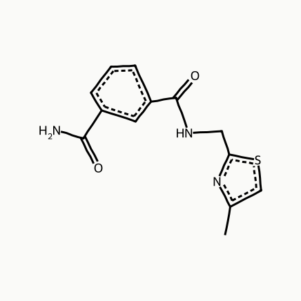 Cc1csc(CNC(=O)c2cccc(C(N)=O)c2)n1